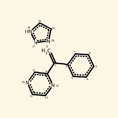 C=C(c1ccccc1)c1cnccn1.c1c[nH]nn1